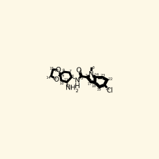 Cn1c(C(=O)N[C@H]2CCC3(C[C@H]2N)OCCO3)cc2cc(Cl)ccc21